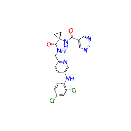 O=C(NC1(C(=O)NCc2ccc(Nc3ccc(Cl)cc3Cl)cn2)CC1)c1cncnc1